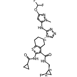 Cn1nc(OC(F)F)cc1Nc1nncn1[C@H]1CCc2sc(NC(=O)C3CC3)c(C(=O)NC[C@H]3C[C@H]3F)c2C1